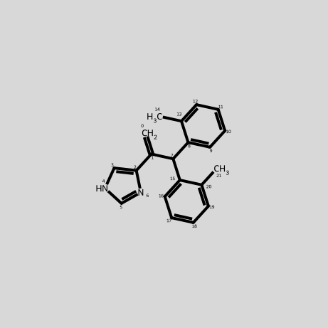 C=C(c1c[nH]cn1)C(c1ccccc1C)c1ccccc1C